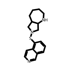 c1cc(SN2CC3CCCCNC3C2)c2ccncc2c1